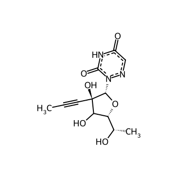 CC#C[C@@]1(O)C(O)[C@@H]([C@H](C)O)O[C@H]1n1ncc(=O)[nH]c1=O